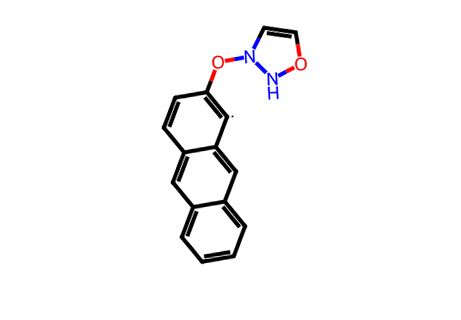 [c]1c(ON2C=CON2)ccc2cc3ccccc3cc12